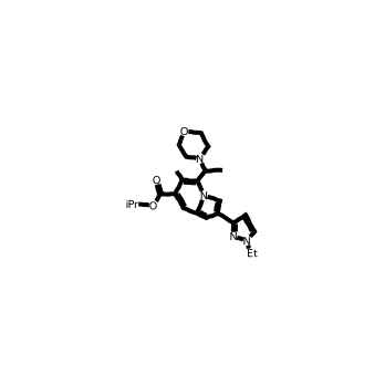 CCn1ccc(-c2cc3cc(C(=O)OC(C)C)c(C)c(C(C)N4CCOCC4)n3c2)n1